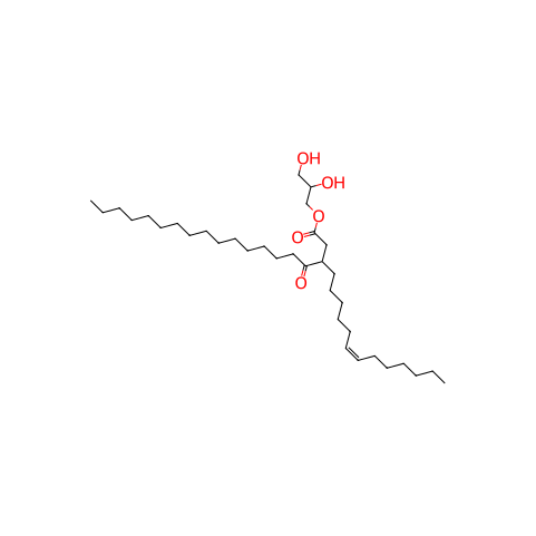 CCCCCC/C=C\CCCCCC(CC(=O)OCC(O)CO)C(=O)CCCCCCCCCCCCCCC